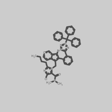 CCCCc1nc(Cl)c(C(=O)N(C)C)n1Cc1c2ccocc-2c(Br)c1-c1ccccc1-c1nnn(C(c2ccccc2)(c2ccccc2)c2ccccc2)n1